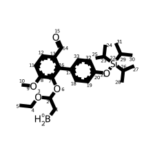 BCC(OCC)Oc1c(OC)ccc(C=O)c1-c1ccc(O[Si](C(C)C)(C(C)C)C(C)C)cc1